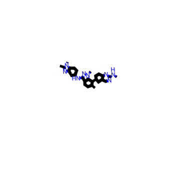 CNc1ncc2cc(-c3c(C)ccc4c(Nc5ccc6c(c5)nc(C)n6C)nn(C)c34)ccc2n1